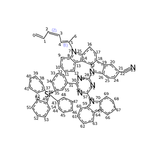 C=C/C=C\C=C(/C)n1c2ccccc2c2c1ccc1c3cc(C#N)ccc3n(-c3nc(-c4cccc([Si](c5ccccc5)(c5ccccc5)c5ccccc5)c4)nc(-n4c5ccccc5c5ccccc54)n3)c12